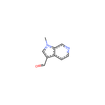 Cn1cc(C=O)c2ccncc21